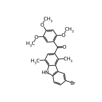 COc1cc(OC)c(C(=O)c2cc(C)c3[nH]c4ccc(Br)cc4c3c2C)cc1OC